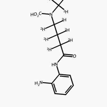 [2H]C([2H])([2H])N(C(=O)O)C([2H])([2H])C([2H])([2H])C([2H])([2H])C(=O)Nc1ccccc1N